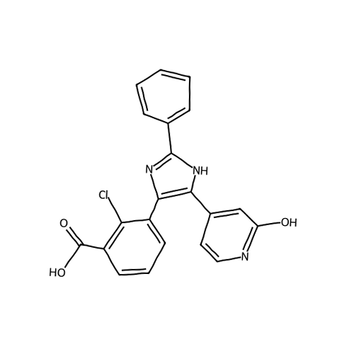 O=C(O)c1cccc(-c2nc(-c3ccccc3)[nH]c2-c2ccnc(O)c2)c1Cl